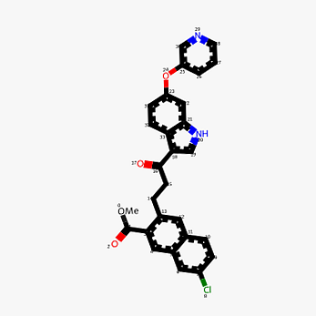 COC(=O)c1cc2cc(Cl)ccc2cc1CCC(=O)c1c[nH]c2cc(Oc3cccnc3)ccc12